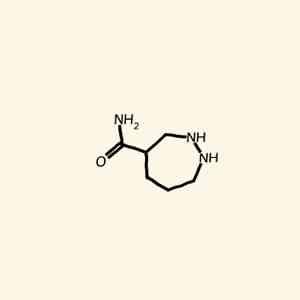 NC(=O)C1CCCNNC1